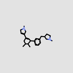 CC1CC(C2=CCN(C)C2)=CC(c2cccc(CC3CCN(C)C3)c2)C1C